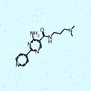 CN(C)CCCNC(=O)c1cnc(-c2ccncc2)nc1N